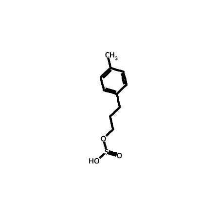 Cc1ccc(CCCOS(=O)O)cc1